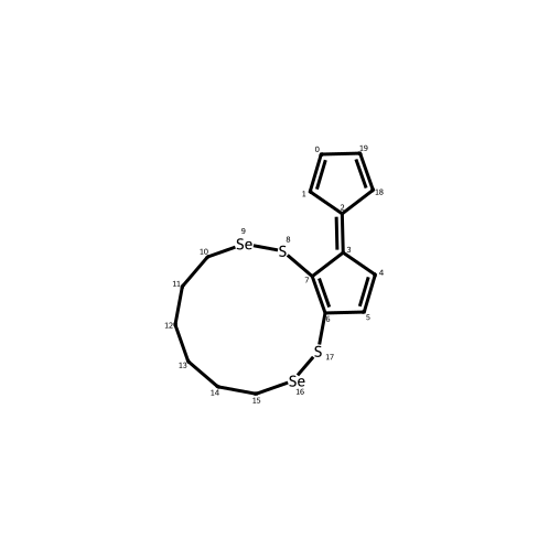 C1=CC(=C2C=CC3=C2S[Se]CCCCCC[Se]S3)C=C1